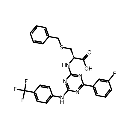 O=C(O)[C@H](CSCc1ccccc1)Nc1nc(Nc2ccc(C(F)(F)F)cc2)nc(-c2cccc(F)c2)n1